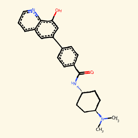 CN(C)[C@H]1CC[C@H](NC(=O)c2ccc(-c3cc(O)c4ncccc4c3)cc2)CC1